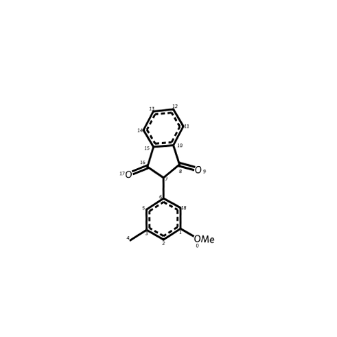 COc1cc(C)cc(C2C(=O)c3ccccc3C2=O)c1